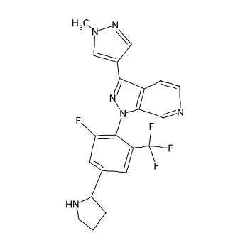 Cn1cc(-c2nn(-c3c(F)cc(C4CCCN4)cc3C(F)(F)F)c3cnccc23)cn1